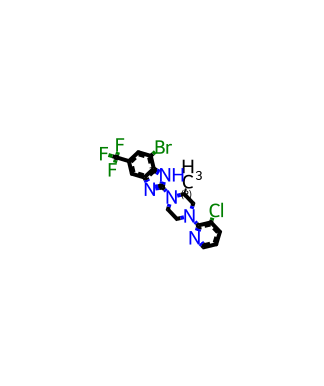 C[C@@H]1CN(c2ncccc2Cl)CCN1c1nc2cc(C(F)(F)F)cc(Br)c2[nH]1